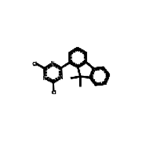 CC1(C)c2ccccc2-c2cccc(-c3nc(Cl)nc(Cl)n3)c21